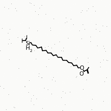 C=C(C)C(=O)OCCCCCCCCCCCCCCCCCCCC[SiH2]C(I)I